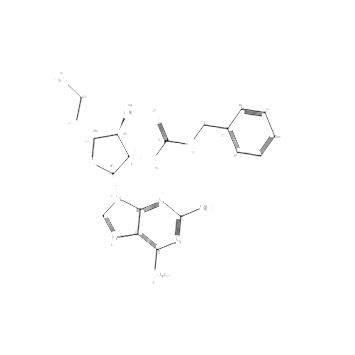 COc1nc(N)nc2c1ncn2[C@@H]1O[C@H](CCO)[C@@H](O)[C@@H]1OC(=O)OCc1ccccc1